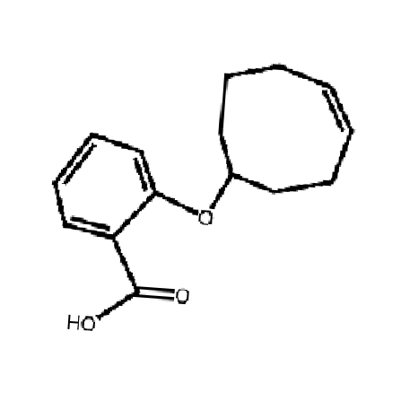 O=C(O)c1ccccc1OC1CCC=CCCC1